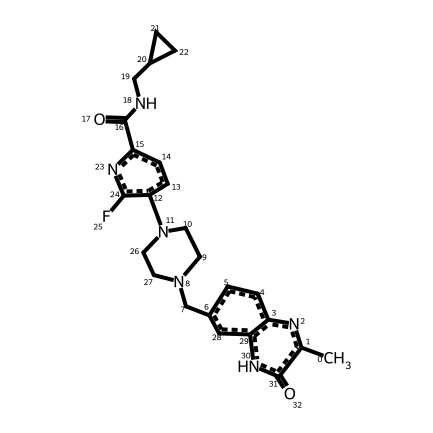 Cc1nc2ccc(CN3CCN(c4ccc(C(=O)NCC5CC5)nc4F)CC3)cc2[nH]c1=O